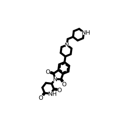 O=C1CCC(N2C(=O)c3ccc(C4CCN(CC5CCNCC5)CC4)cc3C2=O)C(=O)N1